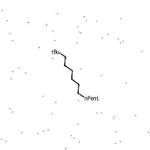 [CH2]C(C)(C)CCCCCCCC[CH]CC